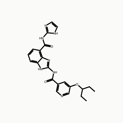 CCC(CC)Oc1cncc(C(=O)Nc2nc3c(C(=O)Nc4ncc[nH]4)cccc3[nH]2)c1